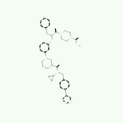 CC(C)(C)OC(=O)N1CCN(C(=O)C(Cc2ccccc2)Oc2cccc(N3CCCC(C(=O)N(Cc4ccc(-c5cn[nH]c5)cc4)C4CC4)C3)c2)CC1